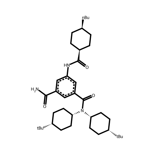 CCCC[C@H]1CC[C@@H](C(=O)Nc2cc(C(N)=O)cc(C(=O)N([C@H]3CC[C@@H](C(C)(C)C)CC3)[C@H]3CC[C@@H](C(C)(C)C)CC3)c2)CC1